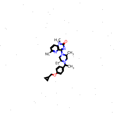 CC[C@@H]1CN(c2nc(=O)n(C)c3ccc(C#N)nc23)[C@@H](C)CN1C(C)c1ccc(OCC2CC2)cc1